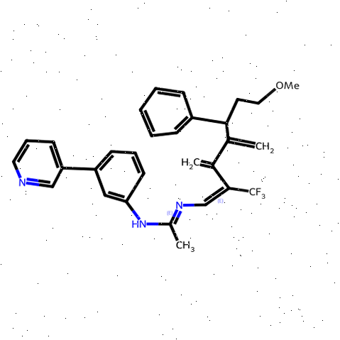 C=C(C(=C)C(CCOC)c1ccccc1)/C(=C\N=C(/C)Nc1cccc(-c2cccnc2)c1)C(F)(F)F